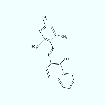 Cc1cc(C)c(N=Nc2ccc3ccccc3c2O)c(S(=O)(=O)O)c1